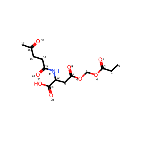 CCC(=O)OCOC(=O)CC(NC(=O)CCC(C)=O)C(=O)O